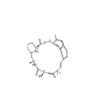 Cc1cc2ccc3cc2nc1[C@@H](C)OC(=O)[C@@H]1CCCN(C[C@H](C)NC(=O)[C@H](C(C)C)NC(=O)C(C)(C)/C=C/3)N1